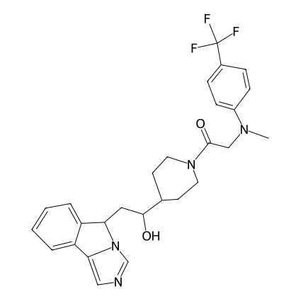 CN(CC(=O)N1CCC(C(O)CC2c3ccccc3-c3cncn32)CC1)c1ccc(C(F)(F)F)cc1